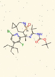 CC[Si](CC)(CC)c1cc(Br)nc([C@@]2(C)N=C(NC(=O)OC(C)(C)C)C(C)(C)[S@@]3(=O)=NCC4(CC4)CC23)c1F